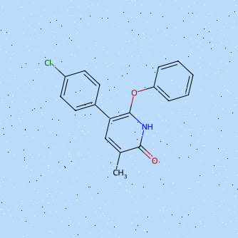 Cc1cc(-c2ccc(Cl)cc2)c(Oc2ccccc2)[nH]c1=O